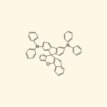 c1ccc(N(c2ccccc2)c2ccc3c(c2)-c2ccc(N(c4ccccc4)c4ccccc4)cc2C32c3ccccc3Oc3c2ccc2ccccc32)cc1